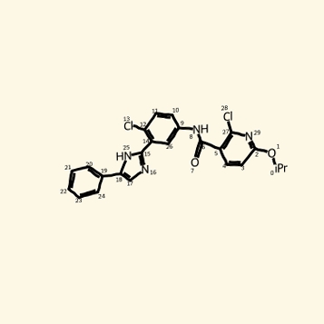 CC(C)Oc1ccc(C(=O)Nc2ccc(Cl)c(-c3ncc(-c4ccccc4)[nH]3)c2)c(Cl)n1